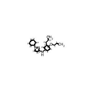 C=CCOc1ccc(Nc2ccn(-c3ccccc3)n2)cc1CC=C